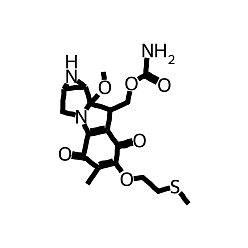 COC12C(COC(N)=O)C3=C(C(=O)C(C)=C(OCCSC)C3=O)N1CC1NC12